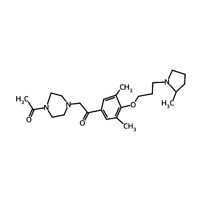 CC(=O)N1CCN(CC(=O)c2cc(C)c(OCCCN3CCCC3C)c(C)c2)CC1